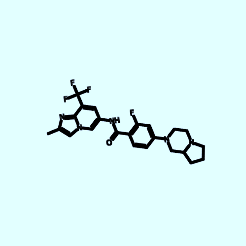 Cc1cn2cc(NC(=O)c3ccc(N4CCN5CCCC5C4)cc3F)cc(C(F)(F)F)c2n1